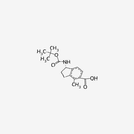 Cc1c(C(=O)O)ccc2c1CC[C@@H]2NC(=O)OC(C)(C)C